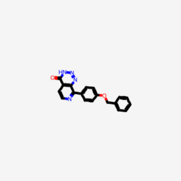 O=c1[nH]nnc2c(-c3ccc(OCc4ccccc4)cc3)nccc12